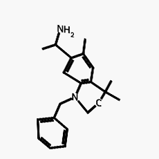 Cc1cc2c(cc1C(C)N)N(Cc1ccccc1)CCC2(C)C